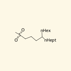 CCCCCCCC(CCCCCC)CCCS(C)(=O)=O